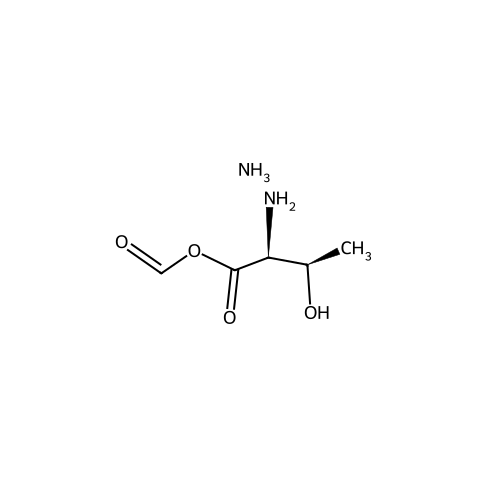 C[C@@H](O)[C@H](N)C(=O)OC=O.N